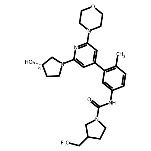 Cc1ccc(NC(=O)N2CCC(CC(F)(F)F)C2)cc1-c1cc(N2CCOCC2)nc(N2CC[C@H](O)C2)c1